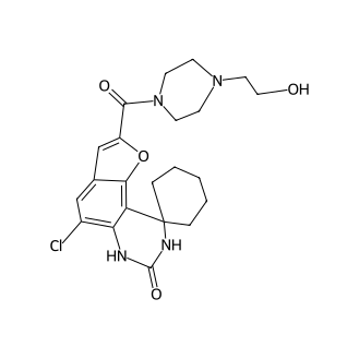 O=C1Nc2c(Cl)cc3cc(C(=O)N4CCN(CCO)CC4)oc3c2C2(CCCCC2)N1